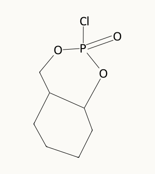 O=P1(Cl)OCC2CCCCC2O1